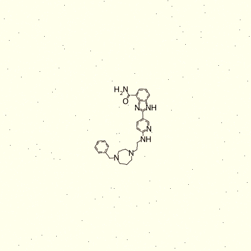 NC(=O)c1cccc2[nH]c(-c3ccc(NCCN4CCCN(Cc5ccccc5)CC4)nc3)nc12